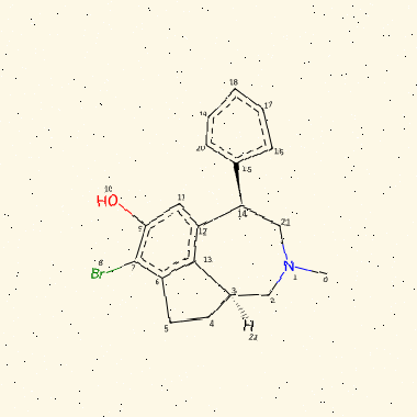 CN1C[C@H]2CCc3c(Br)c(O)cc(c32)[C@@H](c2ccccc2)C1